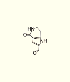 O=Cc1cc2c([nH]1)CCNC2=O